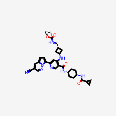 COC(=O)NC[C@H]1C[C@H](Nc2cc(-c3ccc4cc(C#N)cnn34)ncc2C(=O)N[C@H]2CC[C@H](NC(=O)C3CC3)CC2)C1